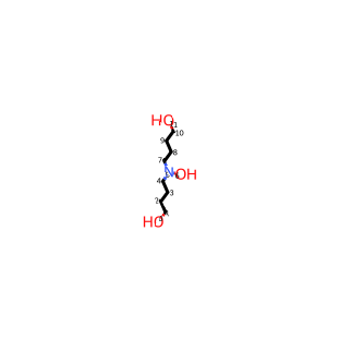 OCCCCN(O)CCCCO